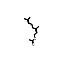 CC(C)=CCC/C(C)=C\COC(=O)I